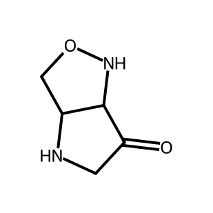 O=C1CNC2CONC12